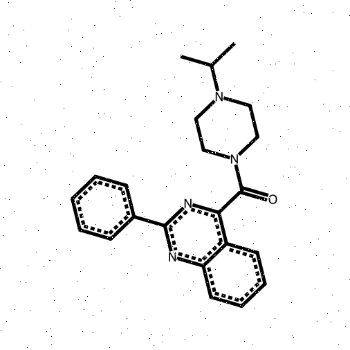 CC(C)N1CCN(C(=O)c2nc(-c3ccccc3)nc3ccccc23)CC1